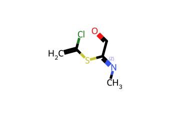 C=C(Cl)S/C(C=O)=N\C